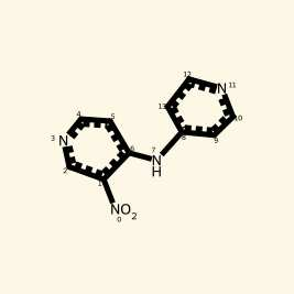 O=[N+]([O-])c1cnccc1Nc1ccncc1